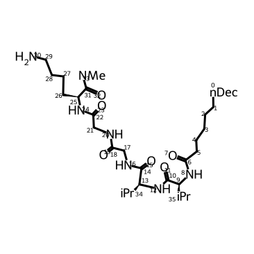 CCCCCCCCCCCCCCCC(=O)N[C@H](C(=O)N[C@H](C(=O)NCC(=O)NCC(=O)N[C@@H](CCCCN)C(=O)NC)C(C)C)C(C)C